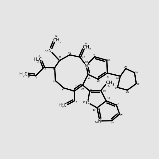 C=CC(=C)C1CC/C(C=C)=C(/c2oc3ncccc3c2C)c2cc(C3CCCCC3)cc[n+]2C(=C)CC1N=C